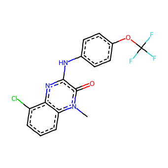 Cn1c(=O)c(Nc2ccc(OC(F)(F)F)cc2)nc2c(Cl)cccc21